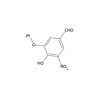 CC(C)Oc1cc(C=O)cc([N+](=O)[O-])c1O